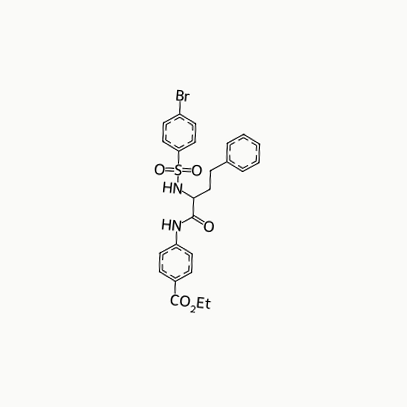 CCOC(=O)c1ccc(NC(=O)C(CCc2ccccc2)NS(=O)(=O)c2ccc(Br)cc2)cc1